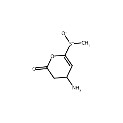 C[S+]([O-])C1=CC(N)CC(=O)O1